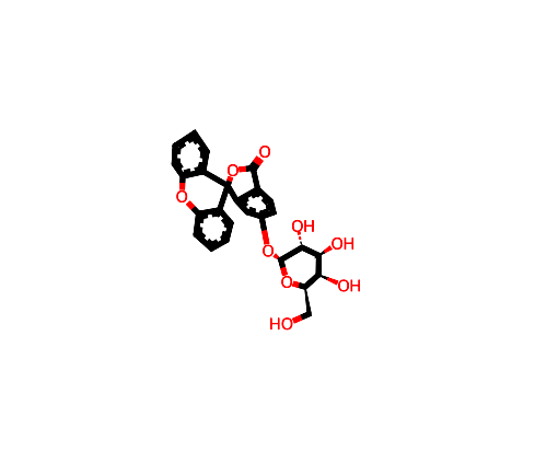 O=C1OC2(c3ccccc3Oc3ccccc32)c2cc(O[C@@H]3O[C@H](CO)[C@H](O)[C@H](O)[C@H]3O)ccc21